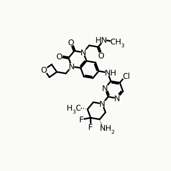 CNC(=O)Cn1c(=O)c(=O)n(CC2COC2)c2ccc(Nc3nc(N4C[C@@H](C)C(F)(F)[C@@H](N)C4)ncc3Cl)cc21